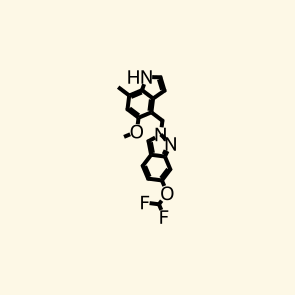 COc1cc(C)c2[nH]ccc2c1Cn1cc2ccc(OC(F)F)cc2n1